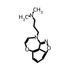 CN(C)CCCN1C=COc2cccc3onc1c23